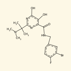 CN(C)C(C)(C)c1nc(O)c(O)c(C(=O)NCc2ccc(F)c(Br)c2)n1